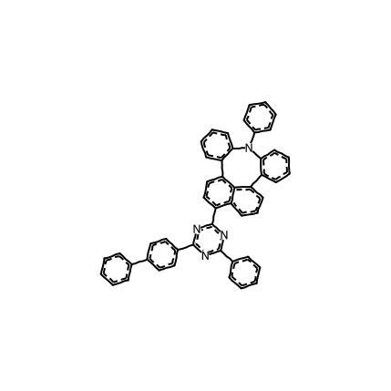 c1ccc(-c2ccc(-c3nc(-c4ccccc4)nc(-c4ccc5c6c(cccc46)-c4ccccc4N(c4ccccc4)c4ccccc4-5)n3)cc2)cc1